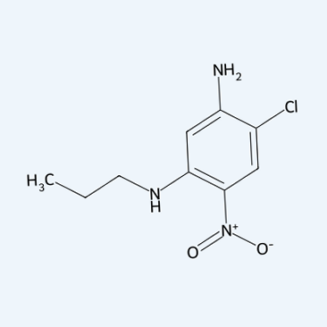 CCCNc1cc(N)c(Cl)cc1[N+](=O)[O-]